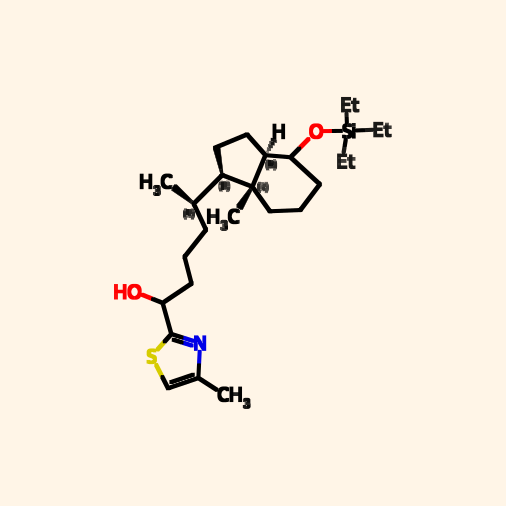 CC[Si](CC)(CC)OC1CCC[C@]2(C)[C@@H]([C@H](C)CCCC(O)c3nc(C)cs3)CC[C@@H]12